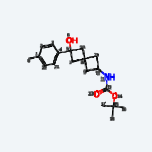 Cc1ccc(C2(O)CC3(CC(NC(=O)OC(C)(C)C)C3)C2)cc1